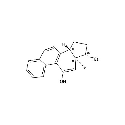 CC[C@H]1CC[C@H]2c3ccc4ccccc4c3C(O)=C[C@]12C